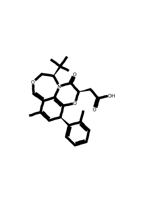 CC1=C[C@H](c2ccccc2C)C2=C3C1=COC[C@@H](C(C)(C)C)N3C(=O)[C@@H](CC(=O)O)O2